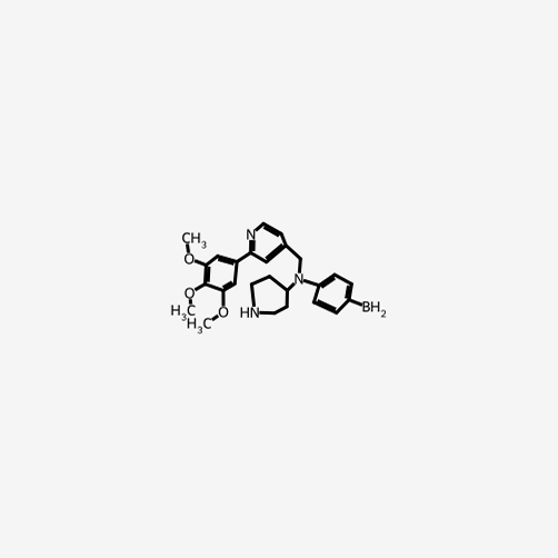 Bc1ccc(N(Cc2ccnc(-c3cc(OC)c(OC)c(OC)c3)c2)C2CCNCC2)cc1